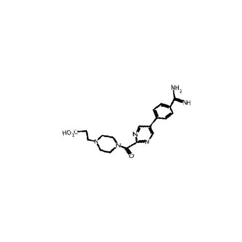 N=C(N)c1ccc(-c2cnc(C(=O)N3CCN(CCC(=O)O)CC3)nc2)cc1